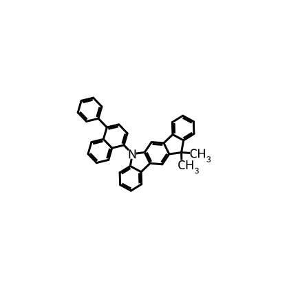 CC1(C)c2ccccc2-c2cc3c(cc21)c1ccccc1n3-c1ccc(-c2ccccc2)c2ccccc12